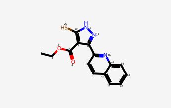 CCOC(=O)c1c(-c2ccc3ccccc3n2)n[nH]c1S